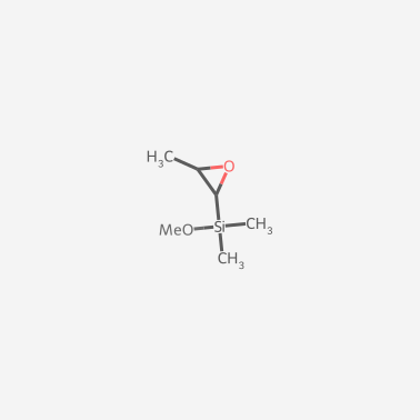 CO[Si](C)(C)C1OC1C